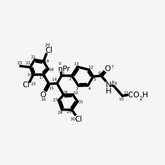 CCCC(c1ccc(C(=O)NCCC(=O)O)cc1)C(C(=O)c1cc(Cl)cc(C)c1Cl)c1ccc(Cl)cc1